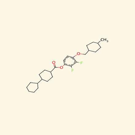 CC1CCC(COc2ccc(OC(=O)C3CCC(C4CCCCC4)CC3)c(F)c2F)CC1